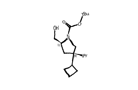 CC(C)[C@@]1(C2CCC2)C[C@@H](CO)N(C(=O)OC(C)(C)C)C1